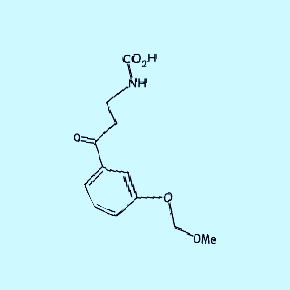 COCOc1cccc(C(=O)CCNC(=O)O)c1